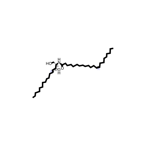 CCCCCCCC/C=C\CCCCCCCCCCCC(=O)N[C@@H](CO)[C@H](O)/C=C/CCCCCCCCCCC